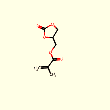 C=C(C)C(=O)OCC1COC(=O)O1